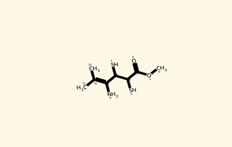 COC(=O)C(S)C(S)C(N)=C(C)C